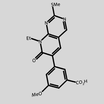 CCn1c(=O)c(-c2cc(OC)cc(C(=O)O)c2)cc2cnc(SC)nc21